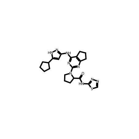 O=C(Nc1nncs1)C1CCCN1c1nc2c(c(Nc3cc(C4CCCC4)[nH]n3)n1)CCC2